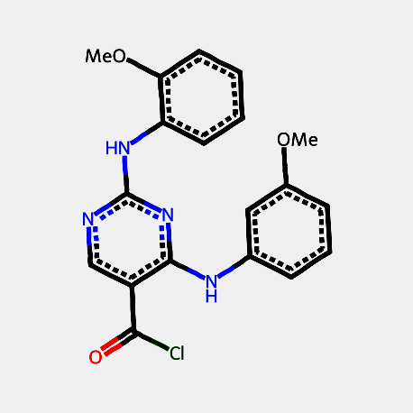 COc1cccc(Nc2nc(Nc3ccccc3OC)ncc2C(=O)Cl)c1